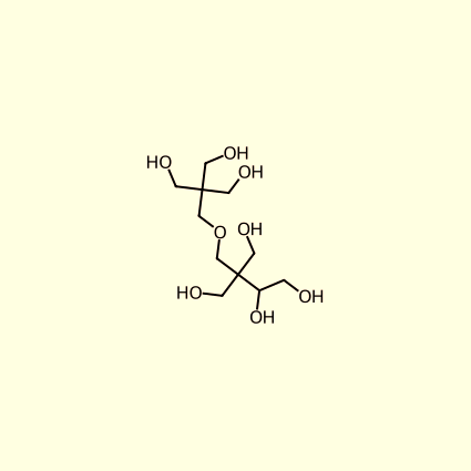 OCC(O)C(CO)(CO)COCC(CO)(CO)CO